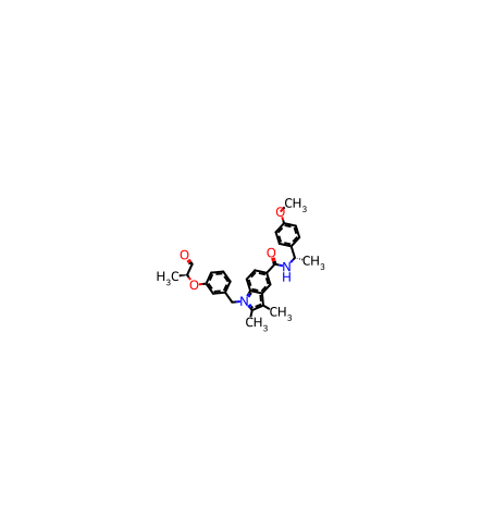 COc1ccc([C@H](C)NC(=O)c2ccc3c(c2)c(C)c(C)n3Cc2cccc(O[C@@H](C)C=O)c2)cc1